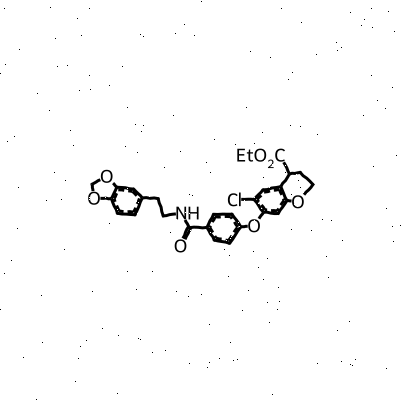 CCOC(=O)C1CCOc2cc(Oc3ccc(C(=O)NCCc4ccc5c(c4)OCO5)cc3)c(Cl)cc21